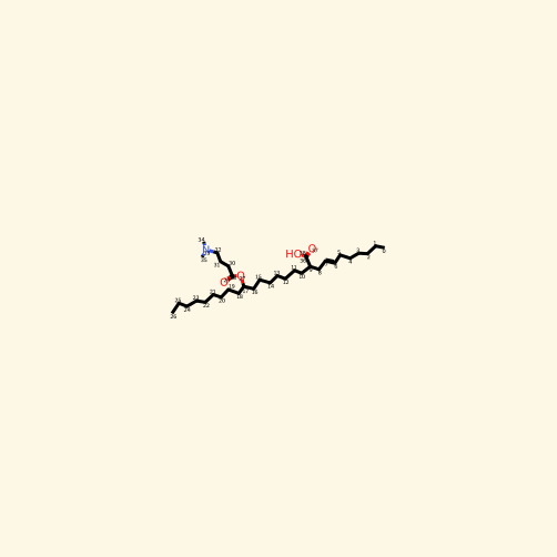 CCCCCC/C=C/CC(CCCCCCCC(CCCCCCCCC)OC(=O)CCCN(C)C)C(=O)O